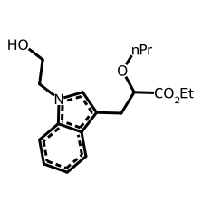 CCCOC(Cc1cn(CCO)c2ccccc12)C(=O)OCC